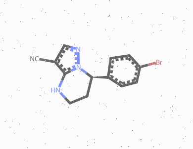 N#Cc1cnn2c1NCC[C@@H]2c1ccc(Br)cc1